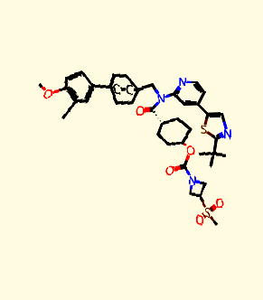 COc1ccc(C23CCC(CN(c4cc(-c5cnc(C(C)(C)C)s5)ccn4)C(=O)[C@H]4CC[C@H](OC(=O)N5CC(S(C)(=O)=O)C5)CC4)(CC2)CC3)cc1C